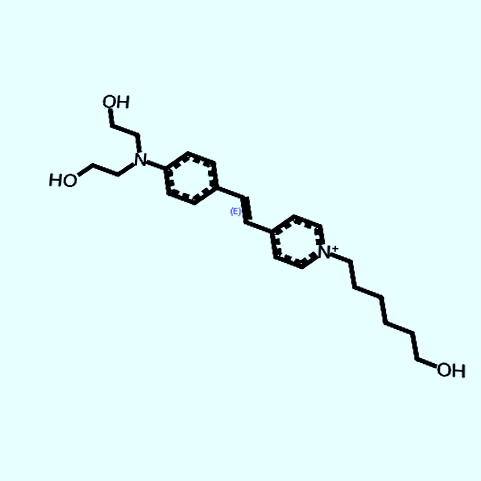 OCCCCCC[n+]1ccc(/C=C/c2ccc(N(CCO)CCO)cc2)cc1